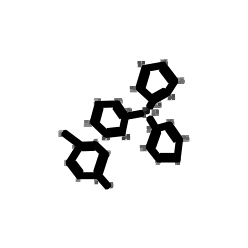 Cc1ccc(C)cc1.c1ccc(P(c2ccccc2)c2ccccc2)cc1